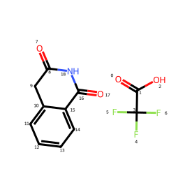 O=C(O)C(F)(F)F.O=C1Cc2ccccc2C(=O)N1